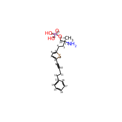 CC(N)(CCc1ccc(C#CCCc2ccccc2)s1)COP(=O)(O)O